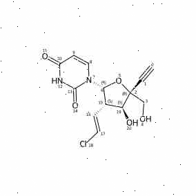 C#C[C@]1(CO)O[C@@H](n2ccc(=O)[nH]c2=O)[C@@H](C=CCl)[C@@H]1O